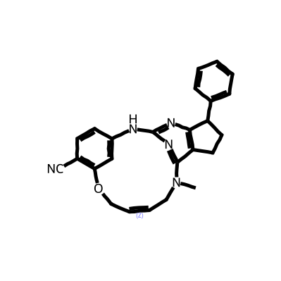 CN1C/C=C\COc2cc(ccc2C#N)Nc2nc3c(c1n2)CCC3c1ccccc1